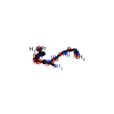 CC[C@@]1(OC(=O)OCc2ccc(NC(=O)[C@H](CCCCN)NC(=O)COCC(=O)NCCCOCCn3cc(CNC(=O)CCC/C=C\c4cnc(S(C)(=O)=O)nc4)nn3)cc2)C(=O)OCc2c1cc1n(c2=O)Cc2c-1nc1ccccc1c2CCN(C(C)C)S(C)(=O)=O